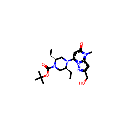 CC[C@@H]1CN(c2cc(=O)n(C)c3cc(CO)nn23)[C@@H](CC)CN1C(=O)OC(C)(C)C